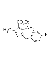 CCOC(=O)c1c(C)nn(Cc2ccc(F)cc2)c1N